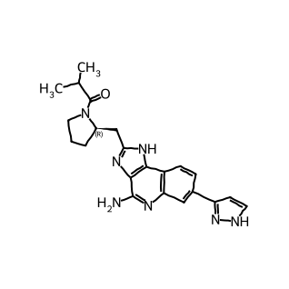 CC(C)C(=O)N1CCC[C@@H]1Cc1nc2c(N)nc3cc(-c4cc[nH]n4)ccc3c2[nH]1